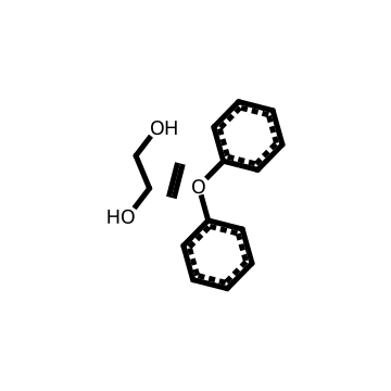 C=C.OCCO.c1ccc(Oc2ccccc2)cc1